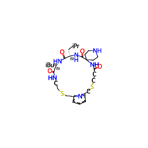 CC[C@H](C)[C@@H]1NC(=O)[C@H](CC(C)C)NC(=O)C2(CCNCC2)NC(=O)CCSCc2cccc(n2)CSCCNC1=O